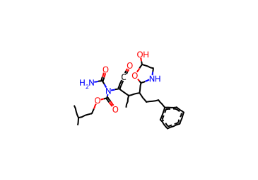 CC(C)COC(=O)N(C(N)=O)C(=C=O)C(C)C(CCc1ccccc1)C1NCC(O)O1